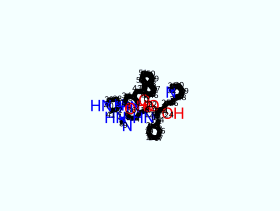 O=C(NC(Cc1c[nH]cn1)C(=O)N[C@@H](CC1CCCCC1)[C@@H](O)[C@@H](O)CCc1ccccn1)C(CC(=O)N1CCNCC1)Cc1cccc2ccccc12